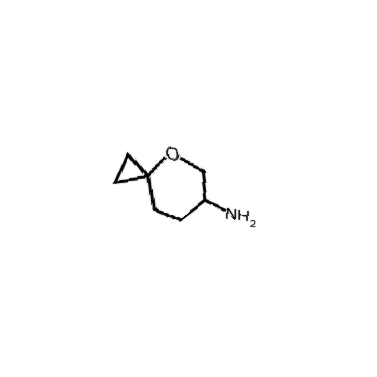 NC1CCC2(CC2)OC1